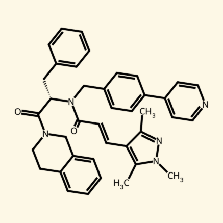 Cc1nn(C)c(C)c1C=CC(=O)N(Cc1ccc(-c2ccncc2)cc1)[C@@H](Cc1ccccc1)C(=O)N1CCc2ccccc2C1